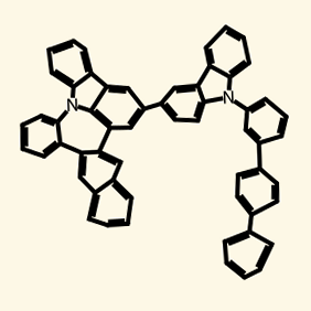 c1ccc(-c2ccc(-c3cccc(-n4c5ccccc5c5cc(-c6cc7c8c(c6)c6ccccc6n8-c6ccccc6-c6cc8ccccc8cc6-7)ccc54)c3)cc2)cc1